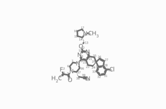 C=C(F)C(=O)N1CCN(c2nc(OC[C@@H]3CCCN3C)nc3c2CC[C@]2(C=Cc4c(Cl)cccc42)C3)C[C@@H]1CC#N